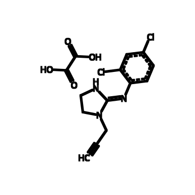 C#CCN1CCN/C1=N\c1ccc(Cl)cc1Cl.O=C(O)C(=O)O